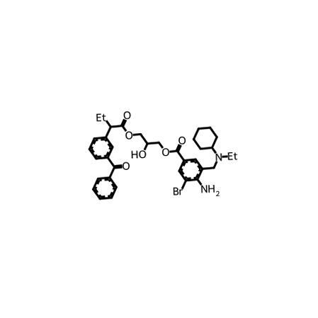 CCC(C(=O)OCC(O)COC(=O)c1cc(Br)c(N)c(CN(CC)C2CCCCC2)c1)c1cccc(C(=O)c2ccccc2)c1